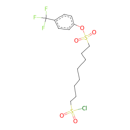 O=S(=O)(Cl)CCCCCCCCS(=O)(=O)Oc1ccc(C(F)(F)F)cc1